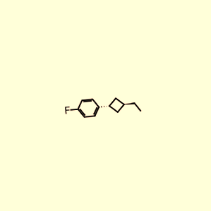 CC[C@H]1C[C@H](c2ccc(F)cc2)C1